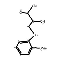 COc1ccccc1OCC(O)C(Cl)Cl